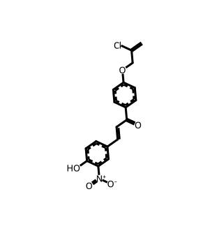 C=C(Cl)COc1ccc(C(=O)/C=C/c2ccc(O)c([N+](=O)[O-])c2)cc1